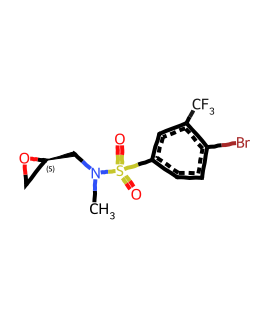 CN(C[C@H]1CO1)S(=O)(=O)c1ccc(Br)c(C(F)(F)F)c1